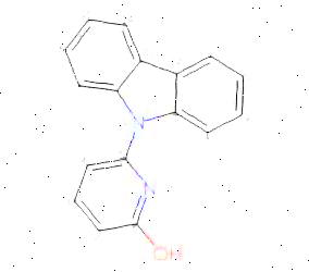 Oc1cccc(-n2c3ccccc3c3ccccc32)n1